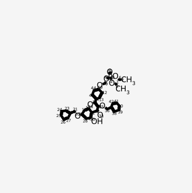 CCOP(=O)(OCC)OCOc1ccc(-c2oc3cc(OCc4ccccc4)cc(O)c3c(=O)c2OCc2ccccc2)cc1